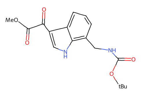 COC(=O)C(=O)c1c[nH]c2c(CNC(=O)OC(C)(C)C)cccc12